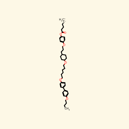 [CH2+][CH-]CCCC(=O)Oc1ccc(OCCCC2CCC(OCCCCCCOc3ccc(-c4ccc(OCCCC)cc4)cc3)CC2)cc1